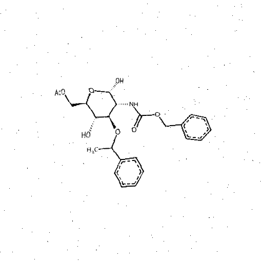 CC(=O)OC[C@H]1O[C@H](O)[C@H](NC(=O)OCc2ccccc2)[C@@H](OC(C)c2ccccc2)[C@@H]1O